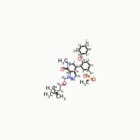 Cn1cc(-c2cc(CS(C)(=O)=O)ccc2Oc2ccc(F)cc2F)c2cnn(COCC[Si](C)(C)C)c2c1=O